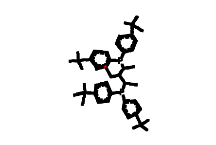 CCCC(C(C)P(c1ccc(C(C)(C)C)cc1)c1ccc(C(C)(C)C)cc1)C(C)P(c1ccc(C(C)(C)C)cc1)c1ccc(C(C)(C)C)cc1